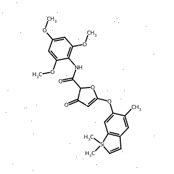 COc1cc(OC)c(NC(=O)C2OC(Oc3cc4c(cc3C)C=C[Si]4(C)C)=CC2=O)c(OC)c1